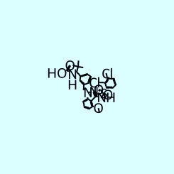 COc1cccc2c1c(NS(=O)(=O)c1cccc(Cl)c1Cl)nn2Cc1cccc(C(NC(=O)O)C(C)(C)C)c1